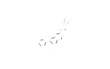 Cc1ccncc1-c1cc(N)c2cnc(NC(=O)[C@H]3[C@@H]4CSC[C@@H]43)cc2c1Cl